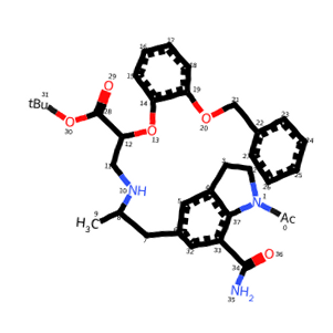 CC(=O)N1CCc2cc(CC(C)NCC(Oc3ccccc3OCc3ccccc3)C(=O)OC(C)(C)C)cc(C(N)=O)c21